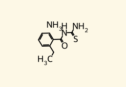 CCc1ccccc1C(=O)NC(N)=S.N